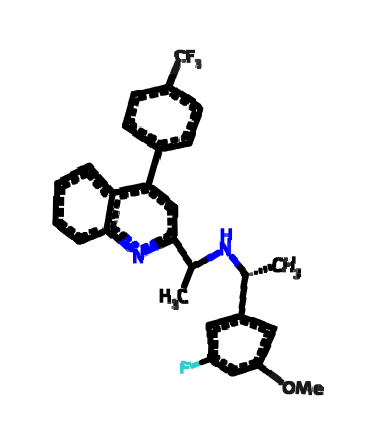 COc1cc(F)cc([C@@H](C)NC(C)c2cc(-c3ccc(C(F)(F)F)cc3)c3ccccc3n2)c1